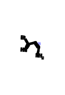 CCC(=N)/C=C\N